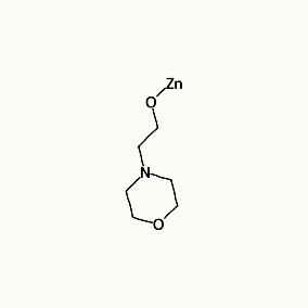 [Zn][O]CCN1CCOCC1